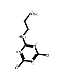 CCCCCCCCNc1nc(Cl)nc(Cl)n1